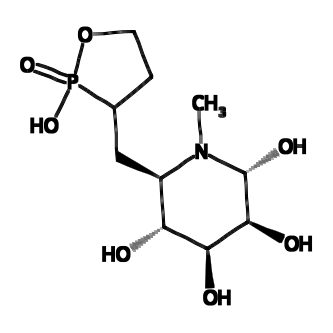 CN1[C@H](O)[C@@H](O)[C@@H](O)[C@H](O)[C@H]1CC1CCOP1(=O)O